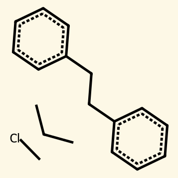 CCC.CCl.c1ccc(CCc2ccccc2)cc1